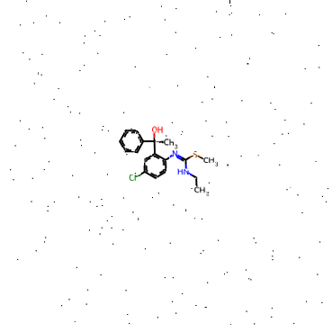 CCN/C(=N\c1ccc(Cl)cc1[C@@](C)(O)c1ccccc1)SC